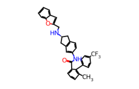 Cc1cccc(C(=O)Nc2ccc3c(c2)C[C@@H](NCc2cc4ccccc4o2)C3)c1-c1ccc(C(F)(F)F)cc1